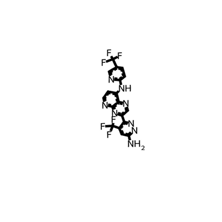 Nc1cc(C(F)(F)F)c(-c2cnc3c(Nc4ccc(C(F)(F)F)cn4)ccnc3n2)nn1